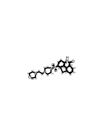 O=c1[nH]c2ccc(S(=O)(=O)N3CCN(CCN4CCOCC4)CC3)c3c2c2c(cccc12)C3